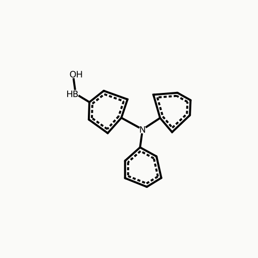 OBc1ccc(N(c2ccccc2)c2ccccc2)cc1